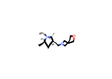 CC(C)N1[C@H](C)C[C@H](CN2CC3(COC3)C2)[C@H]1C